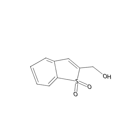 O=S1(=O)C(CO)=Cc2ccccc21